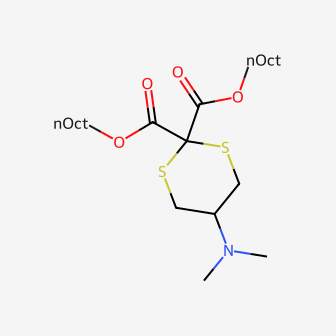 CCCCCCCCOC(=O)C1(C(=O)OCCCCCCCC)SCC(N(C)C)CS1